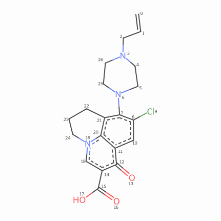 C=CCN1CCN(c2c(Cl)cc3c(=O)c(C(=O)O)cn4c3c2CCC4)CC1